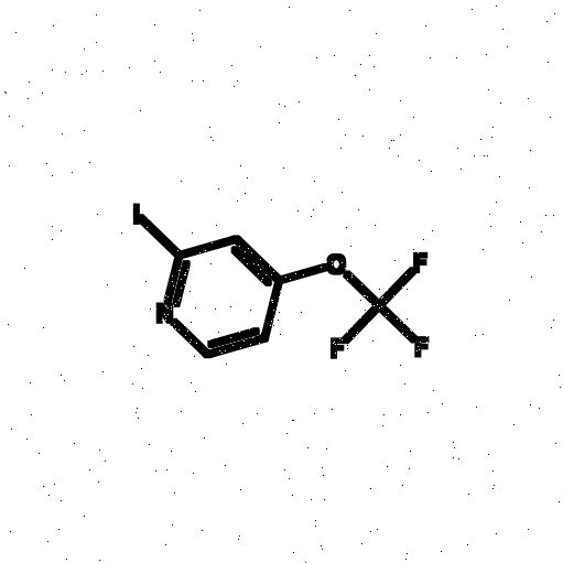 FC(F)(F)Oc1ccnc(I)c1